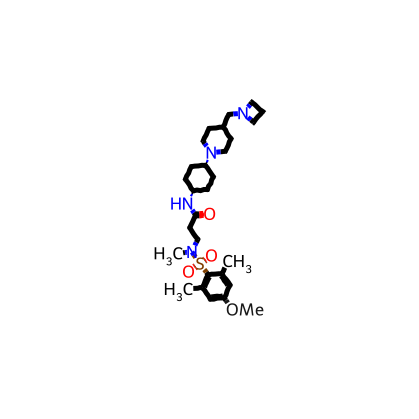 COc1cc(C)c(S(=O)(=O)N(C)CCC(=O)N[C@H]2CC[C@@H](N3CCC(CN4CCC4)CC3)CC2)c(C)c1